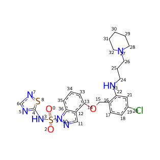 O=S(=O)(Nc1ncns1)n1ncc2c(OCc3ccc(Cl)cc3NCCCN3CCCCC3)cccc21